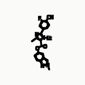 CCn1c(-c2ccc(C#N)c(F)c2)nc(C)c1C(=O)Oc1ccc2nn(C)cc2c1